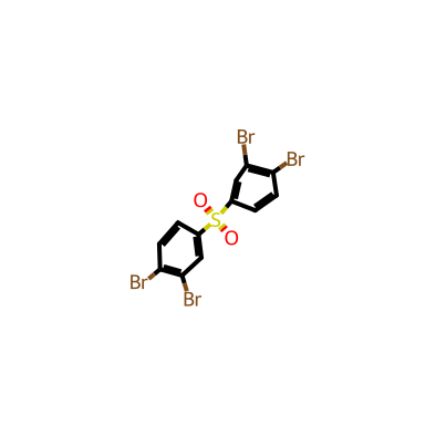 O=S(=O)(c1ccc(Br)c(Br)c1)c1ccc(Br)c(Br)c1